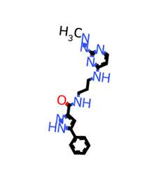 CN=Nc1nccc(NCCCNC(=O)c2cc(-c3ccccc3)[nH]n2)n1